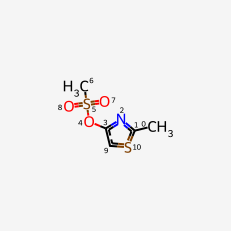 Cc1nc(OS(C)(=O)=O)cs1